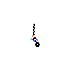 CCCCCCCCOc1cnc(-c2cc[c]cc2)nc1F